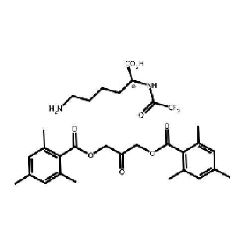 Cc1cc(C)c(C(=O)OCC(=O)COC(=O)c2c(C)cc(C)cc2C)c(C)c1.NCCCC[C@H](NC(=O)C(F)(F)F)C(=O)O